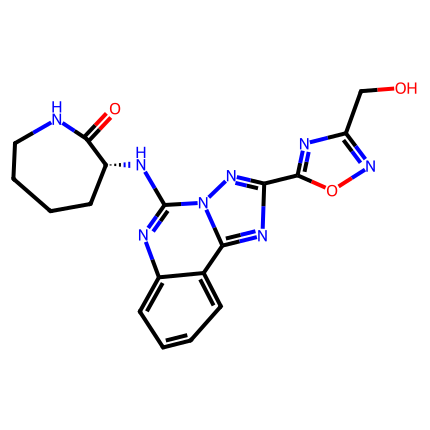 O=C1NCCCC[C@H]1Nc1nc2ccccc2c2nc(-c3nc(CO)no3)nn12